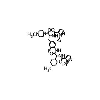 CC(C)n1nccc1C(=O)N[C@H](C(=O)Nc1ccc(C[C@@H](NC(=O)c2ccnn2C2CC2)C(=O)N2CCN(C)CC2)cc1F)[C@H]1CC[C@H](C)CC1